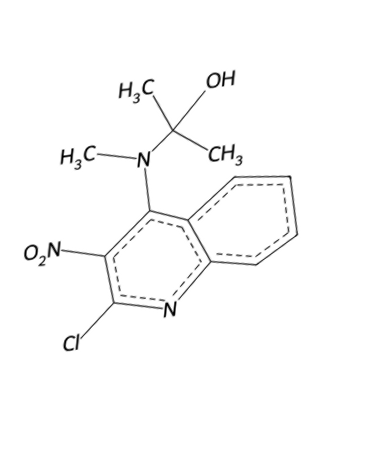 CN(c1c([N+](=O)[O-])c(Cl)nc2ccccc12)C(C)(C)O